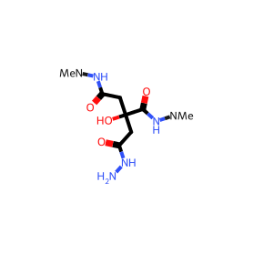 CNNC(=O)CC(O)(CC(=O)NN)C(=O)NNC